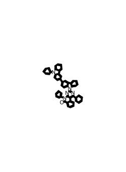 O=c1c2ccccc2c2c(-c3ccccc3)nc(-n3c4ccccc4c4cc(-c5ccc6c(c5)c5ccccc5n6-c5ccccc5)ccc43)nc2n1-c1ccccc1